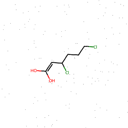 OC(O)=CC(Cl)CCCCl